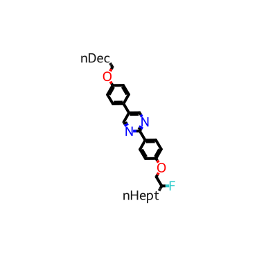 CCCCCCCCCCCOc1ccc(-c2cnc(-c3ccc(OCC(F)CCCCCCC)cc3)nc2)cc1